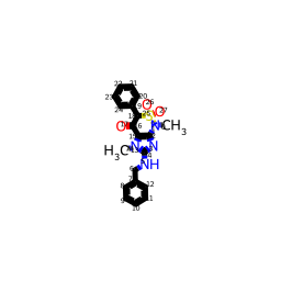 CN1c2nc(NCc3ccccc3)n(C)c2C(=O)C(c2ccccc2)S1(=O)=O